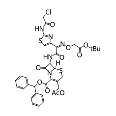 CC(=O)OCC1=C(C(=O)OC(c2ccccc2)c2ccccc2)N2C(=O)[C@@H](NC(=O)/C(=N\OCC(=O)OC(C)(C)C)c3csc(NC(=O)CCl)n3)[C@H]2SC1